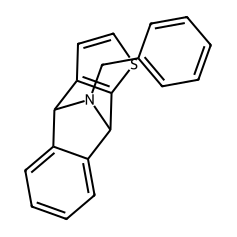 c1ccc(CN2C3c4ccccc4C2c2sccc23)cc1